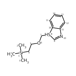 C[Si](C)(C)CCOC[SH]1C=Nc2ccccc21